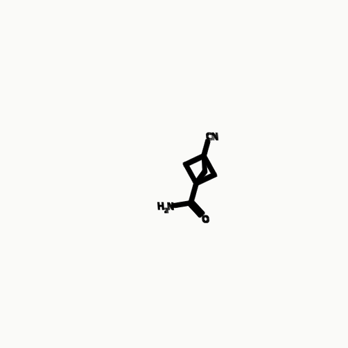 N#CC12CC(C(N)=O)(C1)C2